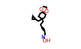 ON=CC#CCCC1(CC2CC2)CCC2(CC1)OCCO2